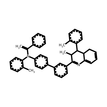 C=C(c1ccccc1)N(c1ccc(-c2cccc(C3=NC4=CC=CCC4C(c4ccccc4C)C3C)c2)cc1)c1ccccc1C